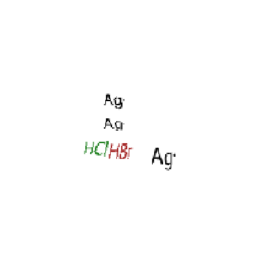 Br.Cl.[Ag].[Ag].[Ag]